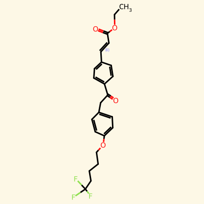 CCOC(=O)/C=C/c1ccc(C(=O)Cc2ccc(OCCCCC(F)(F)F)cc2)cc1